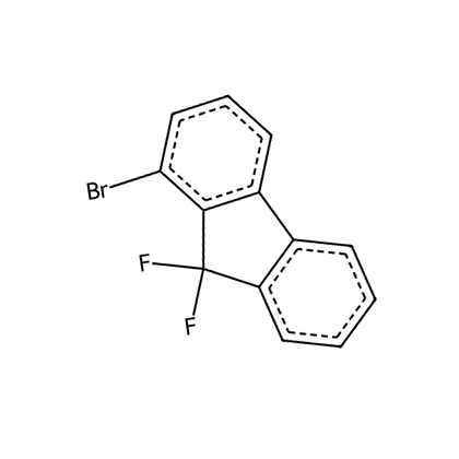 FC1(F)c2ccccc2-c2cccc(Br)c21